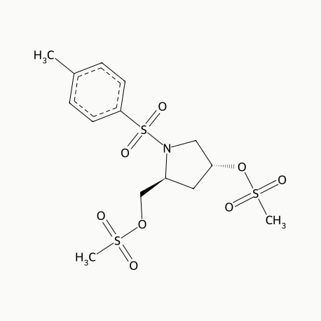 Cc1ccc(S(=O)(=O)N2C[C@H](OS(C)(=O)=O)C[C@H]2COS(C)(=O)=O)cc1